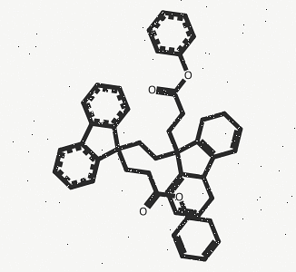 O=C(CCC1(CCC2(CCC(=O)OC3C=CC=CC3)c3ccccc3-c3ccccc32)C2=CC=CCC2C2=C1CCC=C2)Oc1ccccc1